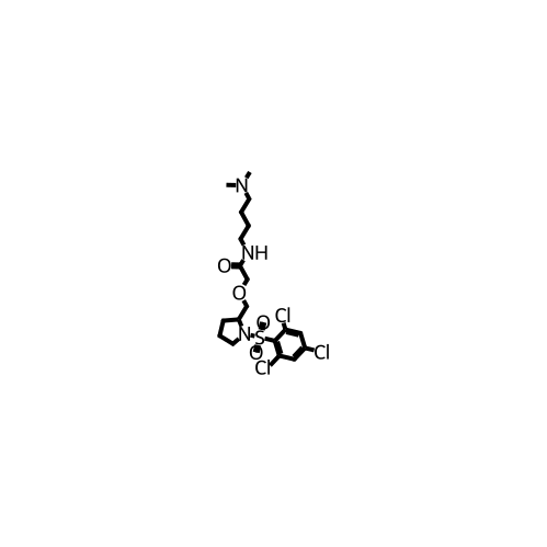 CN(C)CCCCNC(=O)COCC1CCCN1S(=O)(=O)c1c(Cl)cc(Cl)cc1Cl